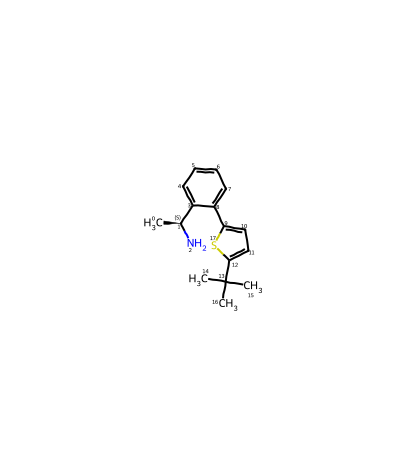 C[C@H](N)c1ccccc1-c1ccc(C(C)(C)C)s1